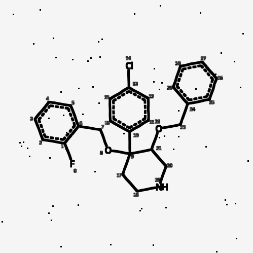 Fc1ccccc1COC1(c2ccc(Cl)cc2)CCNCC1OCc1ccccc1